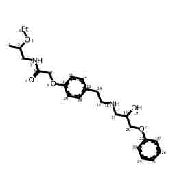 CCOC(C)CNC(=O)COc1ccc(CCNCC(O)COc2ccccc2)cc1